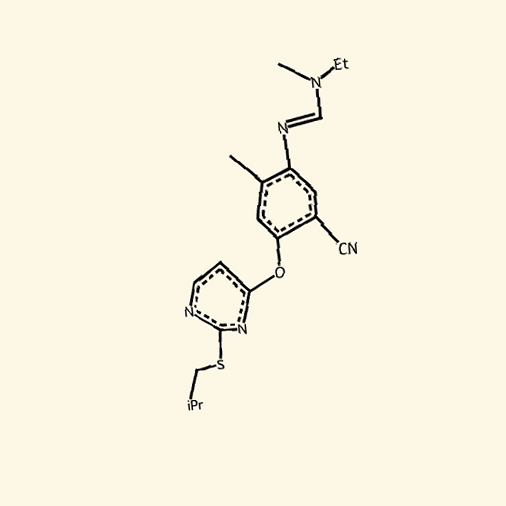 CCN(C)C=Nc1cc(C#N)c(Oc2ccnc(SCC(C)C)n2)cc1C